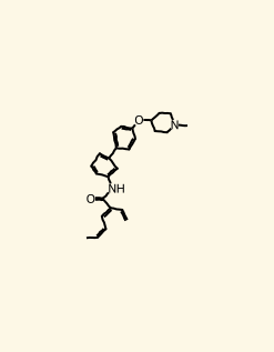 C=C/C(=C\C=C/C)C(=O)Nc1cccc(-c2ccc(OC3CCN(C)CC3)cc2)c1